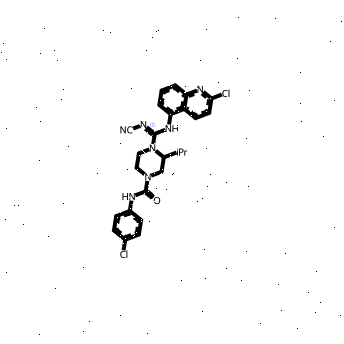 CC(C)C1CN(C(=O)Nc2ccc(Cl)cc2)CCN1/C(=N\C#N)Nc1cccc2nc(Cl)ccc12